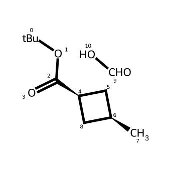 CC(C)(C)OC(=O)[C@H]1C[C@@H](C)C1.O=CO